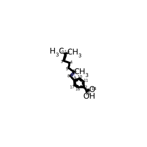 CC(C)=CCC/C(C)=C/c1ccc(C(=O)O)cc1